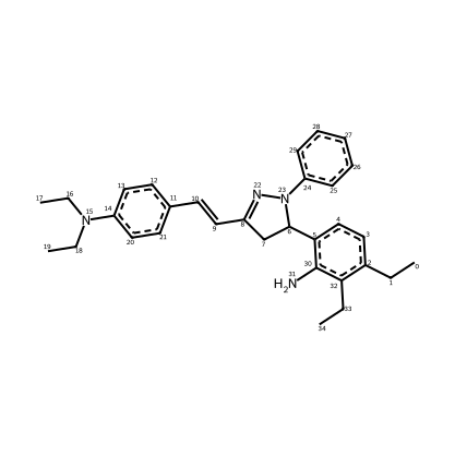 CCc1ccc(C2CC(C=Cc3ccc(N(CC)CC)cc3)=NN2c2ccccc2)c(N)c1CC